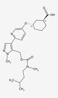 CC(C)CCN(C)C(=O)OCc1c(-c2ccc(O[C@H]3CCC[C@H](C(=O)O)C3)cn2)cnn1C